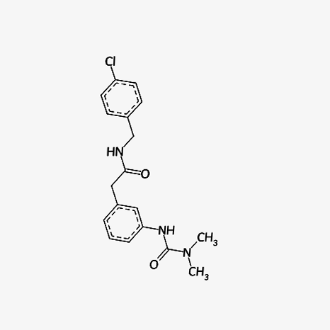 CN(C)C(=O)Nc1cccc(CC(=O)NCc2ccc(Cl)cc2)c1